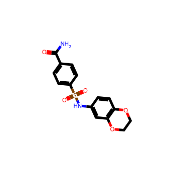 NC(=O)c1ccc(S(=O)(=O)Nc2ccc3c(c2)OCCO3)cc1